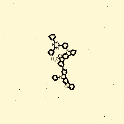 CC1(C)c2ccc(-c3ccc4c5cc6c(cc5n(-c5ccccc5)c4c3)oc3ccccc36)cc2-c2cc3c4ccccc4n(-c4cccc(-c5nc(-c6ccccc6)nc(-c6ccccc6)n5)c4)c3cc21